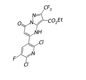 CCOC(=O)c1c(C(F)(F)F)nn2c(=O)cc(-c3cc(F)c(Cl)nc3Cl)[nH]c12